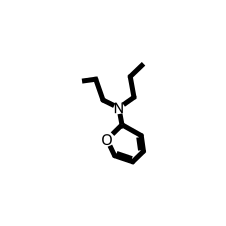 CCCN(CCC)[C]1C=CC=CO1